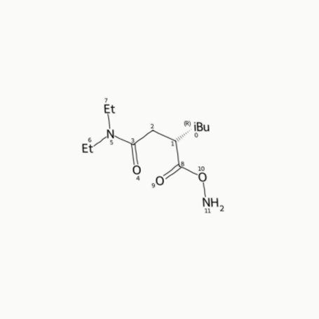 CC[C@@H](C)C(CC(=O)N(CC)CC)C(=O)ON